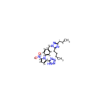 CCCCc1nc(CCC)nn1Cc1ccc(-n2c(-c3nnn[nH]3)ccc2[N+](=O)[O-])cc1